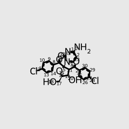 Nc1ccn([C@]2(C(=O)c3ccc(Cl)cc3)O[C@H](CO)[C@@H](O)C2C(=O)c2ccc(Cl)cc2)c(=O)n1